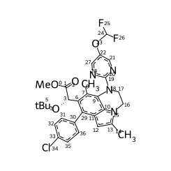 COC(=O)[C@@H](OC(C)(C)C)c1c(C)c2c3c(cc(C)n3CCN2c2ncc(OC(F)F)cn2)c1-c1ccc(Cl)cc1